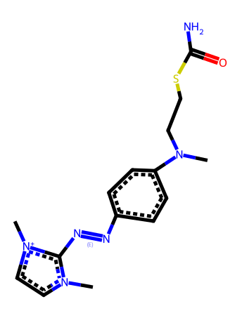 CN(CCSC(N)=O)c1ccc(/N=N/c2n(C)cc[n+]2C)cc1